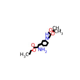 CCCOC(=O)C(N)/C=C1/C=C(NCC2COC(C)(C)O2)CCC1